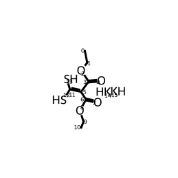 CCOC(=O)C(C(=O)OCC)=C(S)S.[KH].[KH]